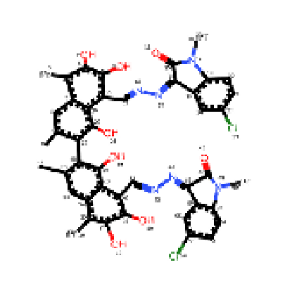 Cc1cc2c(C(C)C)c(O)c(O)c(/C=N/N=C3\C(=O)N(C(C)C)c4ccc(Cl)cc43)c2c(O)c1-c1c(C)cc2c(C(C)C)c(O)c(O)c(/C=N/N=C3/C(=O)N(C(C)C)c4ccc(Cl)cc43)c2c1O